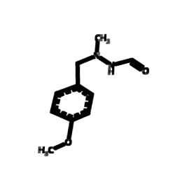 COc1ccc(CN(C)NC=O)cc1